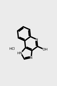 Cl.Oc1nc2ccccc2c2[nH]cnc12